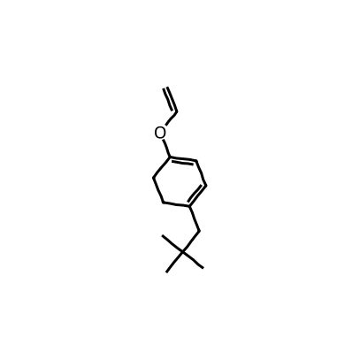 C=COC1=CC=C(CC(C)(C)C)CC1